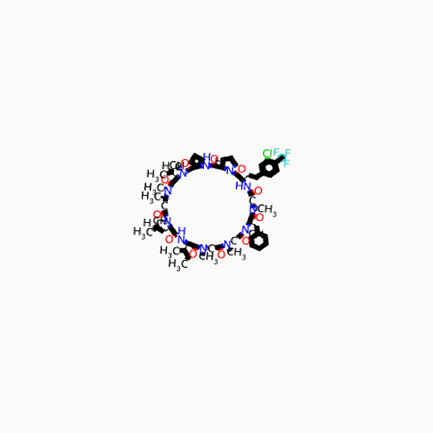 CCC(C)[C@@H]1NC(=O)[C@H](CC(C)C)N(C)C(=O)C[C@@H](C)N(C)C(=O)[C@H](C(C)C)N(C)C(=O)C2(CCC2)NC(=O)[C@@H]2CCCN2C(=O)[C@H](CCc2ccc(C(F)(F)F)c(Cl)c2)NC(=O)CN(C)C(=O)[C@H](CC2CCCCC2)N(C)C(=O)CN(C)C(=O)CN(C)C1=O